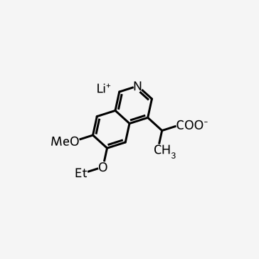 CCOc1cc2c(C(C)C(=O)[O-])cncc2cc1OC.[Li+]